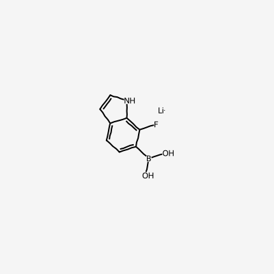 OB(O)c1ccc2cc[nH]c2c1F.[Li]